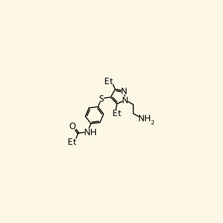 CCC(=O)Nc1ccc(Sc2c(CC)nn(CCN)c2CC)cc1